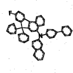 Fc1ccc2c(c1)C(c1ccccc1)(c1ccccc1)c1cc(N(c3ccc(-c4ccccc4)cc3)c3ccc4ccccc4c3)c3ccccc3c1-2